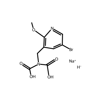 COc1ncc(Br)cc1CN(C(=O)O)C(=O)O.[H-].[Na+]